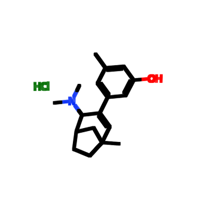 Cc1cc(O)cc(C2=CC3(C)CCC(C3)C2N(C)C)c1.Cl